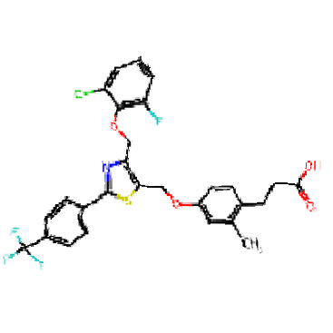 Cc1cc(OCc2sc(-c3ccc(C(F)(F)F)cc3)nc2COc2c(F)cccc2Cl)ccc1CCC(=O)O